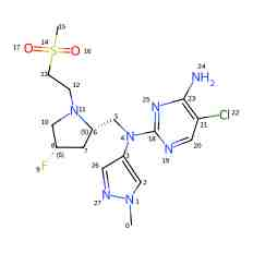 Cn1cc(N(C[C@@H]2C[C@H](F)CN2CCS(C)(=O)=O)c2ncc(Cl)c(N)n2)cn1